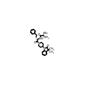 CC1(C)C(=O)N(C2CCN(C(=O)[C@H](CCc3ccccc3)NC(=O)[C@@H](N)C(C)(C)C)CC2)c2ccccc21